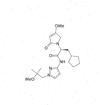 COC1=CC(=O)N([C@@H](CC2CCCC2)C(=O)Nc2ccn(CC(C)(C)OC)n2)C1